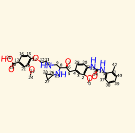 COc1cc(CC(=O)C(CNCCOc2ccc(C(=O)O)cc2OC)NC2CC2)ccc1NC(=O)Nc1ccccc1C